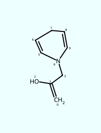 C=C(O)CN1C=CCC=C1